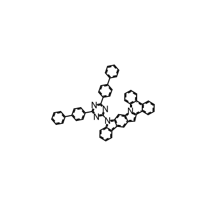 c1ccc(-c2ccc(-c3nc(-c4ccc(-c5ccccc5)cc4)nc(-n4c5ccccc5c5cc6cc7c8ccccc8c8ccccc8n7c6cc54)n3)cc2)cc1